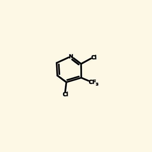 FC(F)(F)c1c(Cl)ccnc1Cl